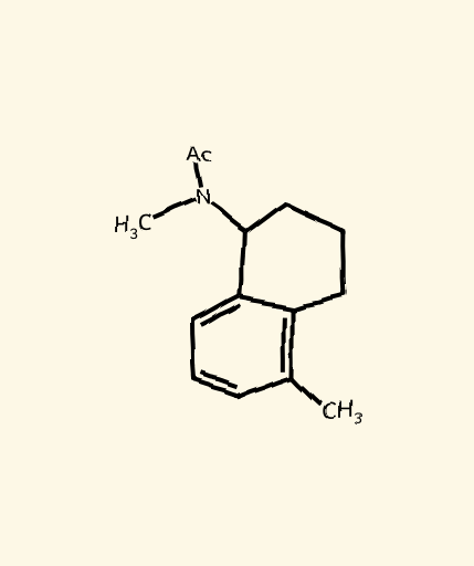 CC(=O)N(C)C1CCCc2c(C)cccc21